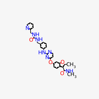 CNC(=O)c1c(C)oc2cc(Oc3ccnc(Nc4cccc(CNC(=O)NCc5ccccn5)c4)n3)ccc12